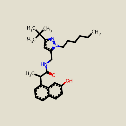 CCCCCCn1nc(C(C)(C)C)cc1CNC(=O)C(C)c1cccc2ccc(O)cc12